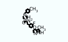 Cc1ccc(CN2CCN(C(=O)C(N)Cc3ccc(Oc4ccnc5[nH]cc(C)c45)c(F)c3)CC2)cc1